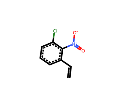 C=Cc1cccc(Cl)c1[N+](=O)[O-]